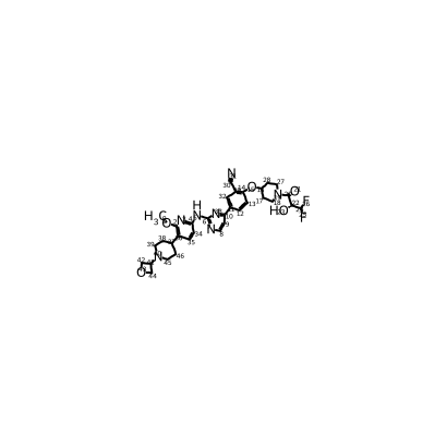 COc1nc(Nc2nccc(-c3ccc(OC4CCN(C(=O)[C@H](O)C(F)F)CC4)c(C#N)c3)n2)ccc1C1CCN(C2COC2)CC1